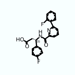 O=C(O)C[C@H](NC(=O)c1cccc(-c2ccccc2F)n1)c1ccc(F)cc1